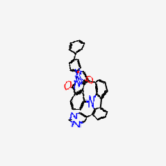 O=C1c2cccc(-n3c4c(-c5cncnc5)cccc4c4cccc(-c5cncnc5)c43)c2C(=O)N1c1ccc(-c2ccccc2)cc1